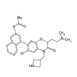 CN(C)CCC1Oc2cc(-c3cc(OC(=O)C(C)(C)C)cc4ccccc34)c(Cl)cc2N(CC2CNC2)C1=O